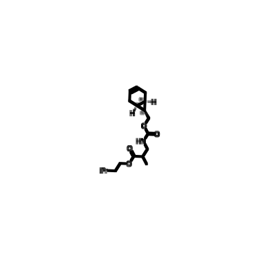 CC(C)CCOC(=O)C(C)CNC(=O)OC[C@@H]1[C@@H]2CC#CC[C@@H]21